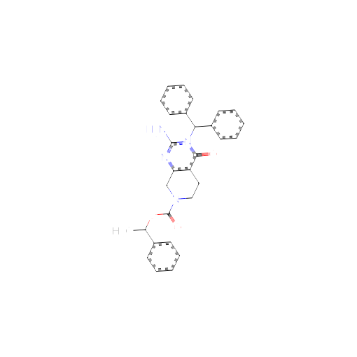 CC(OC(=O)N1CCc2c(nc(N)n(C(c3ccccc3)c3ccccc3)c2=O)C1)c1ccccc1